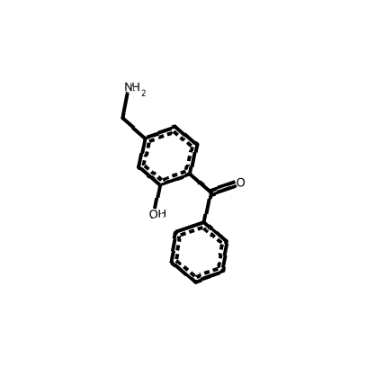 NCc1ccc(C(=O)c2ccccc2)c(O)c1